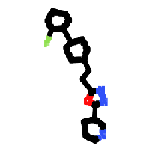 Fc1ccccc1-c1ccc(CCc2nnc(-c3cccnc3)o2)cc1